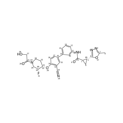 Cc1nnc([C@@H]2CC2C(=O)Nc2cccc(-c3ccc(O[C@H]4CCN(C(=O)CO)C[C@H]4F)c(C#N)c3)c2)o1